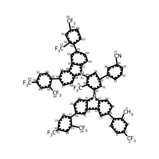 Cc1cc(C(F)(F)F)ccc1-c1ccc2c(c1)c1cc(-c3ccc(C(F)(F)F)cc3C(F)(F)F)ccc1n2-c1cc(-c2cccc(C#N)c2)cc(-n2c3ccc(-c4ccc(C(F)(F)F)cc4C(F)(F)F)cc3c3cc(-c4ccc(C(F)(F)F)cc4C(F)(F)F)ccc32)c1C(F)(F)F